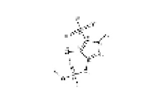 COP(C)(=O)Oc1nn(C)c(S(C)(=O)=O)c1Cl